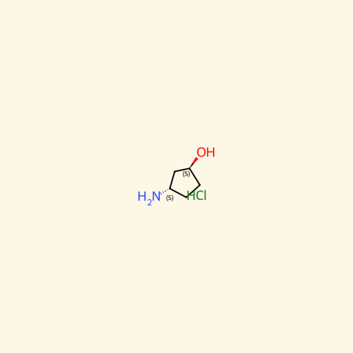 Cl.N[C@H]1CC[C@H](O)C1